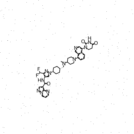 CN(C[C@H]1CC[C@H](n2cc(NC(=O)c3cnn4cccnc34)c(C(F)F)n2)CC1)C1CCN(c2cccc3c(N4CCC(=O)NC4=O)cncc23)CC1